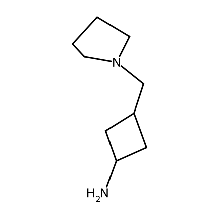 NC1CC(CN2CCCC2)C1